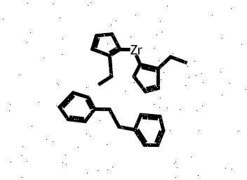 CCC1=[C]([Zr][C]2=C(CC)C=CC2)CC=C1.c1ccc(CCc2ccccc2)cc1